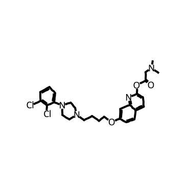 CN(C)CC(=O)Oc1ccc2ccc(OCCCCN3CCN(c4cccc(Cl)c4Cl)CC3)cc2n1